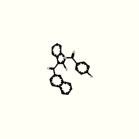 O=C(c1ccc2ccccc2c1)c1c(F)n(C(=O)c2ccc(Br)cc2)c2ccccc12